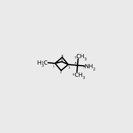 CC12CC(C(C)(C)N)(C1)C2